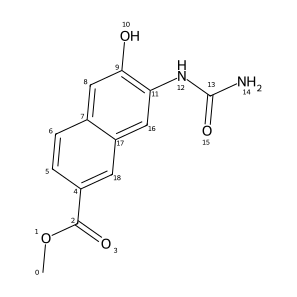 COC(=O)c1ccc2cc(O)c(NC(N)=O)cc2c1